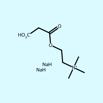 C[N+](C)(C)CCOC(=O)CC(=O)O.[NaH].[NaH]